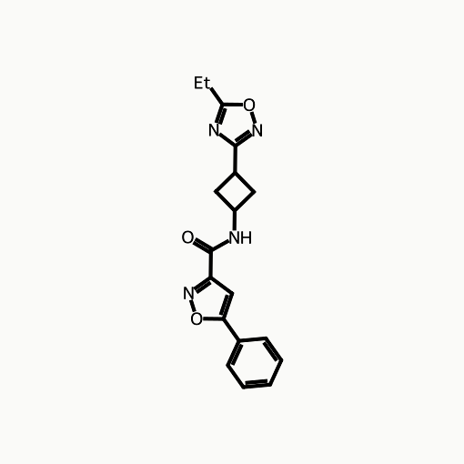 CCc1nc(C2CC(NC(=O)c3cc(-c4ccccc4)on3)C2)no1